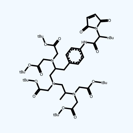 CCCCC(C(=O)Nc1ccc(CC(CN(CC(=O)OC(C)(C)C)CC(C)N(CC(=O)OC(C)(C)C)CC(=O)OC(C)(C)C)N(CC(=O)OC(C)(C)C)CC(=O)OC(C)(C)C)cc1)N1C(=O)C=CC1=O